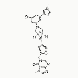 Cn1cc(-c2cc(Cl)cc(N3C[C@@H]4[C@H](C3)[C@H]4c3noc(Cn4cnc5ncn(C)c5c4=O)n3)c2)cn1